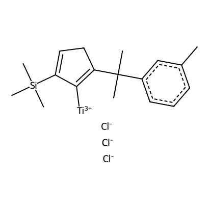 Cc1cccc(C(C)(C)C2=[C]([Ti+3])C([Si](C)(C)C)=CC2)c1.[Cl-].[Cl-].[Cl-]